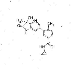 Cc1ccc(C(=O)NC2CC2)cc1-c1cnc2c(c1)NC(=O)C2(C)C